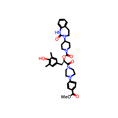 COC(=O)c1ccc(N2CCN(C(=O)[C@@H](Cc3cc(C)c(O)c(C)c3)OC(=O)N3CCC(N4CCc5ccccc5NC4=O)CC3)CC2)cc1